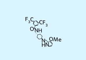 COc1cccnc1CN[C@H]1CC[C@@H](CNC(=O)c2cc(C(F)(F)F)cc(C(F)(F)F)c2)CC1